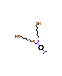 CN(C)c1ccc(N(CSCCCCCCS)CSCCCCCCS)cc1